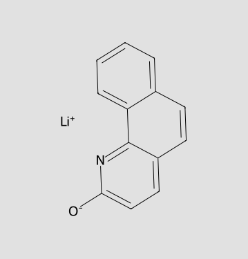 [Li+].[O-]c1ccc2ccc3ccccc3c2n1